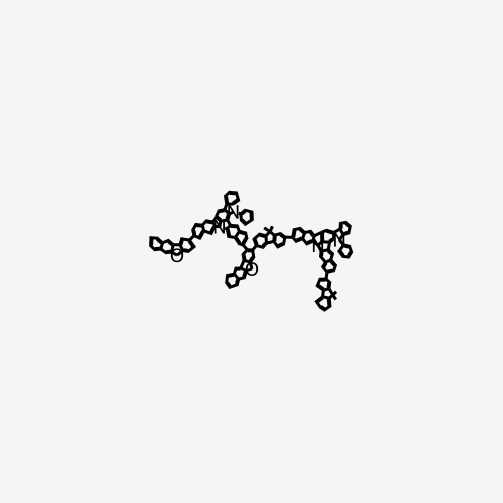 CC1(C)c2ccccc2-c2ccc(-c3ccc4cc5c6c7c(cc8c9cc%10ccc(-c%11ccc%12c(c%11)C(C)(C)c%11ccc(-c%13cc%14oc%15cc%16ccccc%16cc%15c%14cc%13-c%13ccc%14cc%15c%16c%17c(cc%18c%19cc%20ccc(-c%21ccc%22oc%23cc%24ccccc%24cc%23c%22c%21)cc%20cc%19n(c%15cc%14c%13)c%18%16)c%13ccccc%13n%17-c%13ccccc%13)cc%11-%12)cc%10cc9n(c5cc4c3)c86)c3ccccc3n7-c3ccccc3)cc21